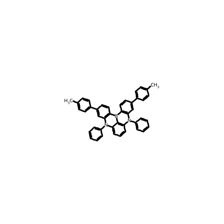 Cc1ccc(-c2ccc3c(c2)N(c2ccccc2)c2cccc4c2B3c2ccc(-c3ccc(C)cc3)cc2N4c2ccccc2)cc1